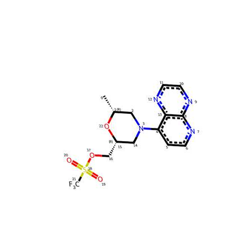 C[C@@H]1CN(c2ccnc3nccnc23)C[C@H](COS(=O)(=O)C(F)(F)F)O1